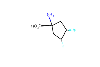 N[C@@]1(C(=O)O)C[C@@H](F)[C@H]([18F])C1